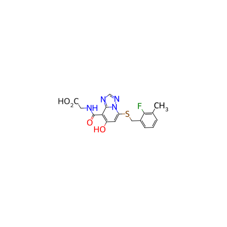 Cc1cccc(CSc2cc(O)c(C(=O)NCC(=O)O)c3ncnn23)c1F